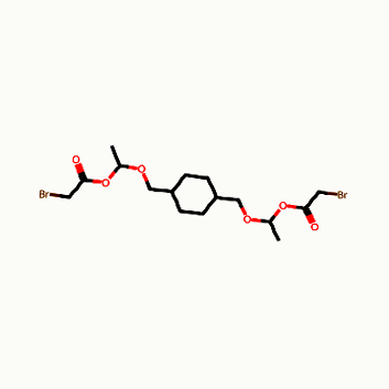 CC(OCC1CCC(COC(C)OC(=O)CBr)CC1)OC(=O)CBr